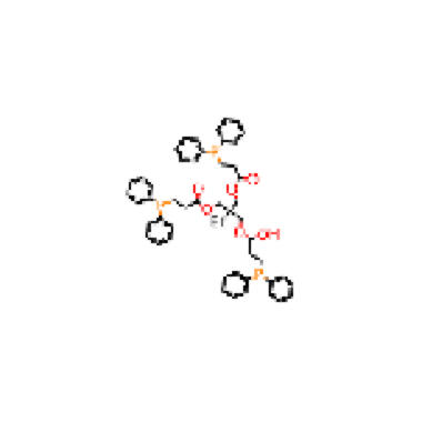 CCC(COC(=O)CCP(c1ccccc1)c1ccccc1)(COC(=O)CCP(c1ccccc1)c1ccccc1)COC(O)CCP(c1ccccc1)c1ccccc1